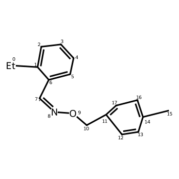 CCc1ccccc1/[C]=N\OCc1ccc(C)cc1